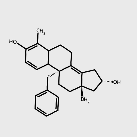 B[C@@]12CC[C@]3(Cc4ccccc4)C(=C1C[C@H](O)C2)CCC1C(C)=C(O)C=CC13